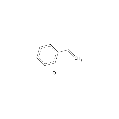 C=Cc1ccccc1.[O]